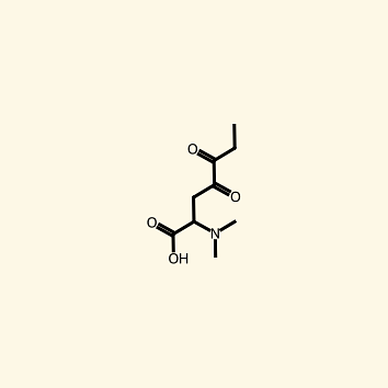 CCC(=O)C(=O)CC(C(=O)O)N(C)C